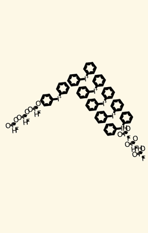 O=[PH]([O-])F.O=[PH]([O-])F.O=[PH]([O-])F.O=[PH]([O-])F.O=[PH]([O-])F.O=[PH]([O-])F.c1ccc([I+]c2ccccc2)cc1.c1ccc([I+]c2ccccc2)cc1.c1ccc([I+]c2ccccc2)cc1.c1ccc([I+]c2ccccc2)cc1.c1ccc([I+]c2ccccc2)cc1.c1ccc([I+]c2ccccc2)cc1